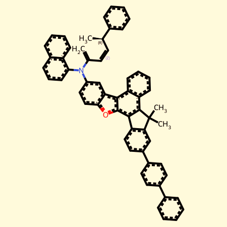 C=C(/C=C\[C@@H](C)c1ccccc1)N(c1ccc2oc3c4c(c5ccccc5c3c2c1)C(C)(C)c1cc(-c2ccc(-c3ccccc3)cc2)ccc1-4)c1cccc2ccccc12